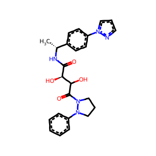 C[C@@H](NC(=O)[C@H](O)C(O)C(=O)N1CCCN1c1ccccc1)c1ccc(-n2cccn2)cc1